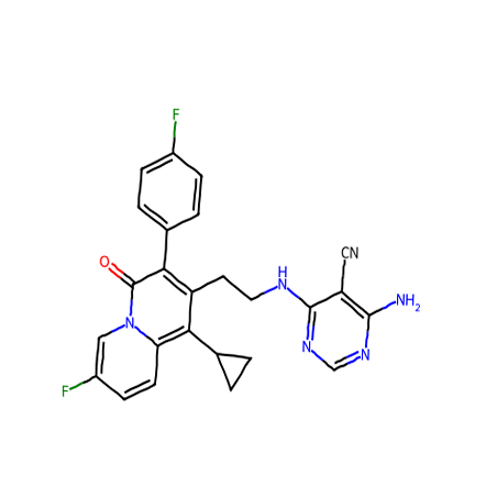 N#Cc1c(N)ncnc1NCCc1c(-c2ccc(F)cc2)c(=O)n2cc(F)ccc2c1C1CC1